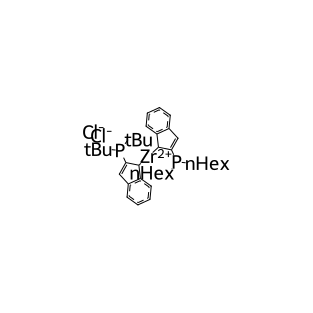 CCCCCCP(CCCCCC)C1=Cc2ccccc2[CH]1[Zr+2][CH]1C(P(C(C)(C)C)C(C)(C)C)=Cc2ccccc21.[Cl-].[Cl-]